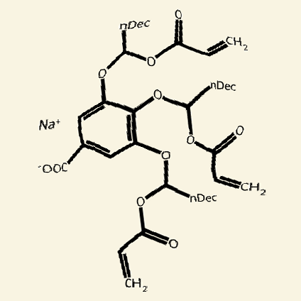 C=CC(=O)OC(CCCCCCCCCC)Oc1cc(C(=O)[O-])cc(OC(CCCCCCCCCC)OC(=O)C=C)c1OC(CCCCCCCCCC)OC(=O)C=C.[Na+]